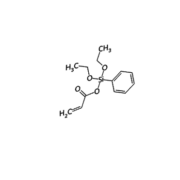 C=CC(=O)O[Si](OCC)(OCC)c1ccccc1